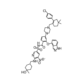 CC1(C)CCC(CN2CCN(c3ccc(C(=O)NS(=O)(=O)c4cnc(NCC5CCC(C)(O)CC5)c([N+](=O)[O-])c4)c(Oc4cccc5[nH]ncc45)c3)CC2)=C(c2ccc(Cl)cc2)C1